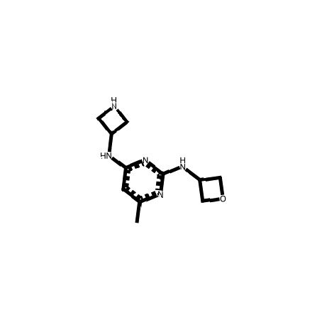 Cc1cc(NC2CNC2)nc(NC2COC2)n1